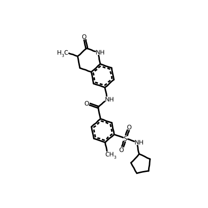 Cc1ccc(C(=O)Nc2ccc3c(c2)CC(C)C(=O)N3)cc1S(=O)(=O)NC1CCCC1